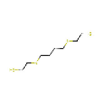 SCCSCCCCSCCS